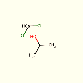 CC(C)O.[Cl][GaH][Cl]